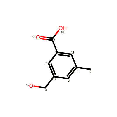 Cc1cc(C[O])cc(C(=O)O)c1